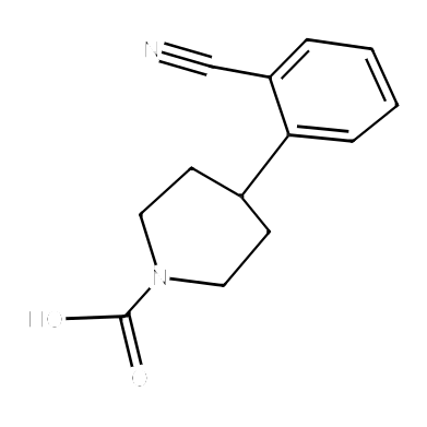 N#Cc1ccccc1C1CCN(C(=O)O)CC1